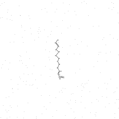 CC=CCCCCCCCC=COC(C)=O